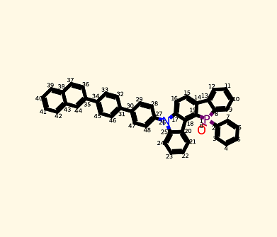 O=P1(c2ccccc2)c2ccccc2-c2ccc3c(c21)c1ccccc1n3-c1ccc(-c2ccc(-c3ccc4ccccc4c3)cc2)cc1